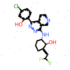 Oc1cc(Cl)ccc1-c1nnc(N[C@H]2CCCC(=CC(F)F)[C@@H]2O)c2cnccc12